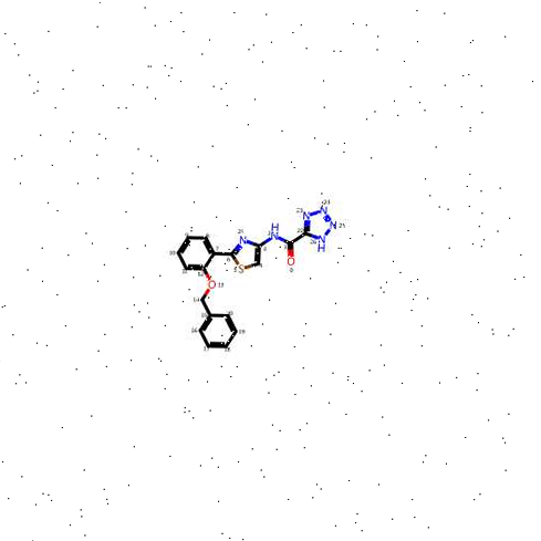 O=C(Nc1csc(-c2ccccc2OCc2ccccc2)n1)c1nnn[nH]1